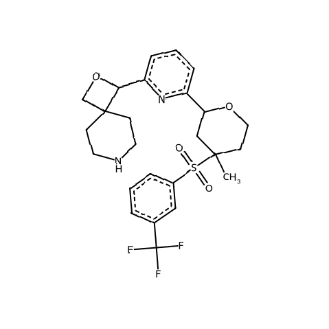 CC1(S(=O)(=O)c2cccc(C(F)(F)F)c2)CCOC(c2cccc(C3OCC34CCNCC4)n2)C1